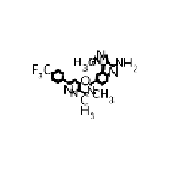 C[C@H](c1ccc(-c2ccc(C(F)(F)F)cc2)nn1)N(C)C(=O)c1ccc2nc(N)c3cnn(C)c3c2c1